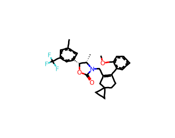 COc1ccccc1C1=C(CN2C(=O)O[C@H](c3cc(C)cc(C(F)(F)F)c3)[C@@H]2C)CC2(CC1)CC2